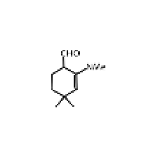 CNC1=CC(C)(C)CCC1C=O